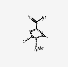 CCC(=O)c1ccc(NC)c(Cl)c1